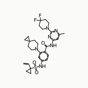 C=CC1(S(=O)(=O)Nc2ccc(C(=O)Nc3cc(C)nc(N4CCC(F)(F)CC4)n3)c(N3CCC4(CC3)CC4)c2)CC1